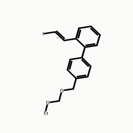 CCOCOCc1ccc(-c2ccccc2/C=C/I)cc1